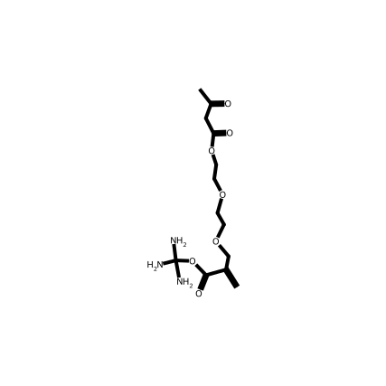 C=C(COCCOCCOC(=O)CC(C)=O)C(=O)OC(N)(N)N